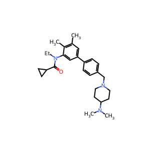 CCN(C(=O)C1CC1)c1cc(-c2ccc(CN3CCC(N(C)C)CC3)cc2)cc(C)c1C